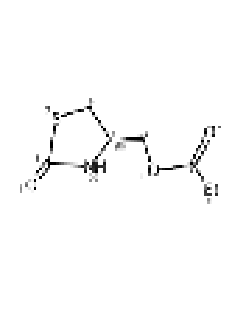 CCC(=O)OC[C@@H]1CSC(=O)N1